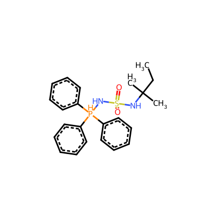 CCC(C)(C)NS(=O)(=O)N[PH](c1ccccc1)(c1ccccc1)c1ccccc1